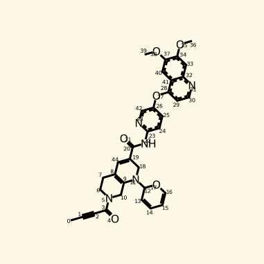 CC#CC(=O)N1CCC2=C(C1)N(C1C=CC=CO1)CC(C(=O)Nc1ccc(Oc3ccnc4cc(OC)c(OC)cc34)cn1)=C2